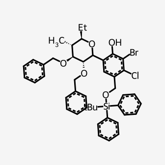 CC[C@H]1OC(c2cc(CO[Si](c3ccccc3)(c3ccccc3)C(C)(C)C)c(Cl)c(Br)c2O)[C@H](OCc2ccccc2)[C@@H](OCc2ccccc2)[C@@H]1C